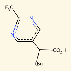 CC(C)(C)C(C(=O)O)c1cnc(C(F)(F)F)nc1